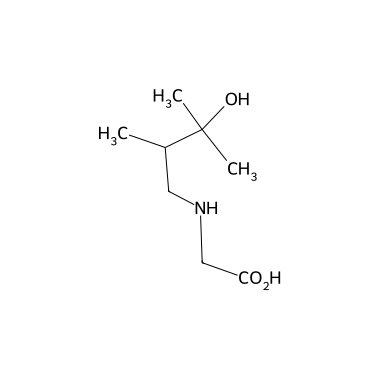 CC(CNCC(=O)O)C(C)(C)O